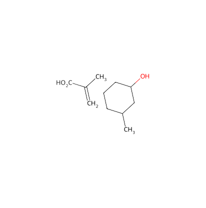 C=C(C)C(=O)O.CC1CCCC(O)C1